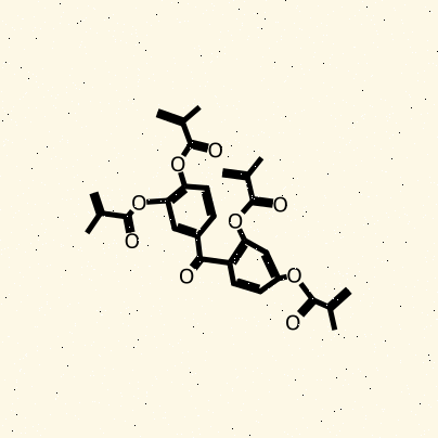 C=C(C)C(=O)Oc1ccc(C(=O)c2ccc(OC(=O)C(=C)C)c(OC(=O)C(=C)C)c2)c(OC(=O)C(=C)C)c1